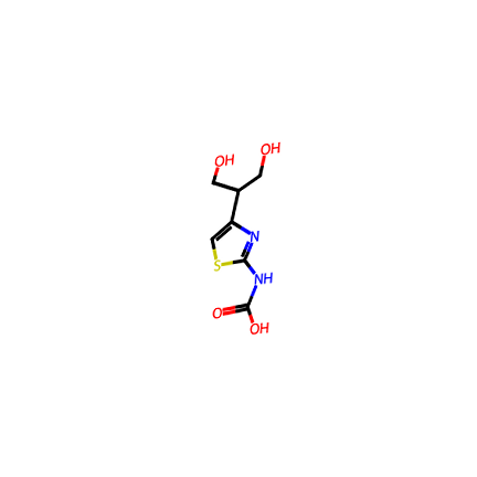 O=C(O)Nc1nc(C(CO)CO)cs1